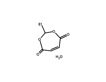 CCC1OC(=O)C=CC(=O)O1.O